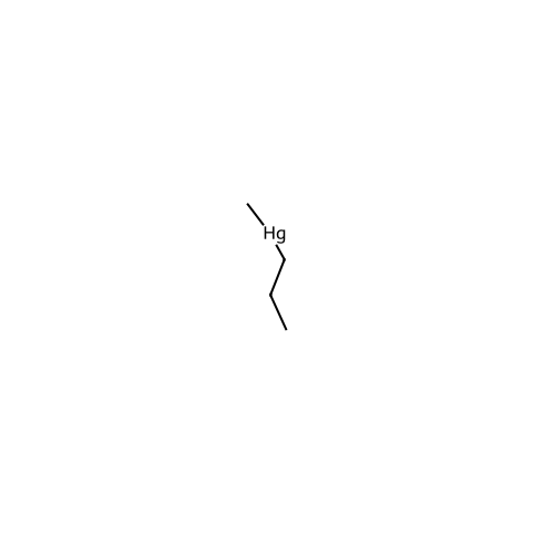 CC[CH2][Hg][CH3]